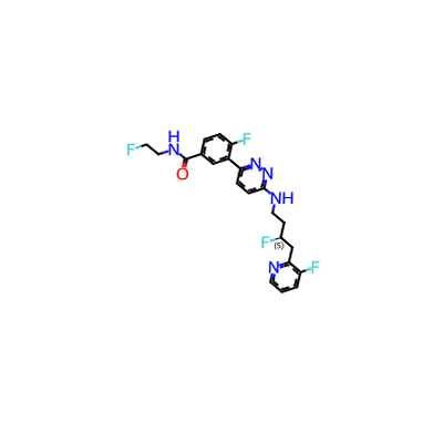 O=C(NCCF)c1ccc(F)c(-c2ccc(NCC[C@H](F)Cc3ncccc3F)nn2)c1